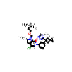 CCOC(=O)c1cc2c(Cl)cn(-c3cccc(C4(c5nncn5C)CC5(CC5)C4)c3)c(=O)c2n1COCC[Si](C)(C)C